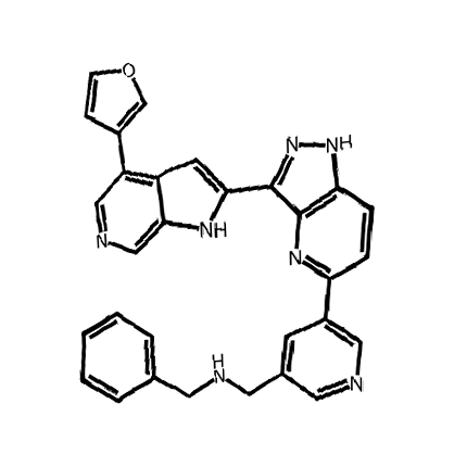 c1ccc(CNCc2cncc(-c3ccc4[nH]nc(-c5cc6c(-c7ccoc7)cncc6[nH]5)c4n3)c2)cc1